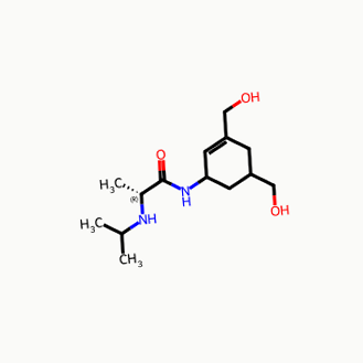 CC(C)N[C@H](C)C(=O)NC1C=C(CO)CC(CO)C1